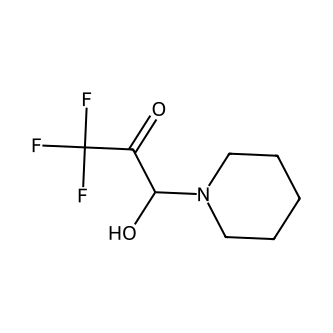 O=C(C(O)N1CCCCC1)C(F)(F)F